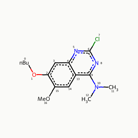 CCCCOc1cc2nc(Cl)nc(N(C)C)c2cc1OC